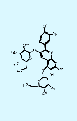 OC[C@H]1O[C@@H](Oc2cc3c(O[C@@H]4O[C@H](CO)[C@@H](O)[C@H](O)[C@H]4O)cc(O)cc3[o+]c2-c2ccc(O)c(O)c2)[C@H](O)[C@@H](O)[C@H]1O